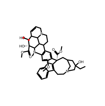 CCC1(O)CC2CN(CCc3c([nH]c4ccccc34)[C@@](C(=O)OC)(c3cc4c(cc3OC)N(C)C3C5C4CCN4CC=C[C@](CC)(C54)[C@@H](O)[C@]3(O)C(=O)OC)C2)C1